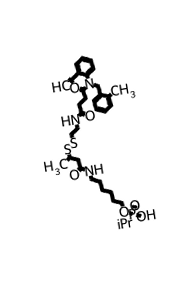 C#Cc1ccccc1N(Cc1ccccc1C)C(=O)CCC(=O)NCCSSC(C)CC(=O)NCCCCCCOP(=O)(O)C(C)C